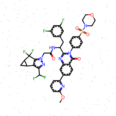 COc1cccc(-c2ccc3c(=O)n(-c4ccc(S(=O)(=O)N5CCOCC5)cc4)c(C(Cc4cc(F)cc(F)c4)NC(=O)Cn4nc(C(F)F)c5c4C(F)(F)C4CC54)nc3c2)n1